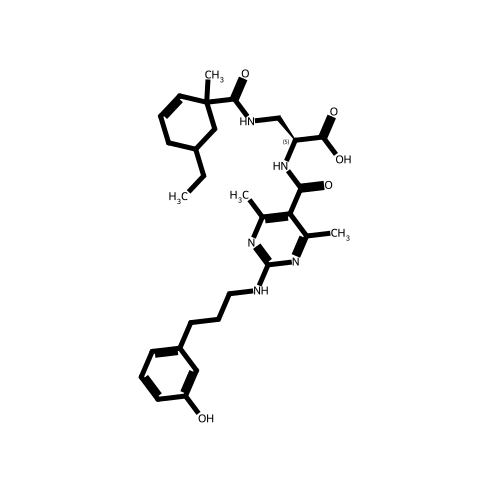 CCC1CC=CC(C)(C(=O)NC[C@H](NC(=O)c2c(C)nc(NCCCc3cccc(O)c3)nc2C)C(=O)O)C1